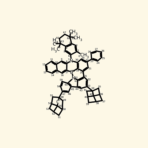 Cc1cc2c(cc1N1c3cc4ccccc4cc3B3c4c(cc(-c5ccccc5)cc41)-c1cc(C45CC6CC7CC(C4)C765)cc4c5cc(C67CC8CC9CC(C6)C98C7)ccc5n3c14)C(C)(C)CCC2(C)C